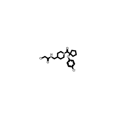 O=C(CCl)NCC1CCN(C(=O)C2(Oc3ccc(Cl)cc3)CCCC2)CC1